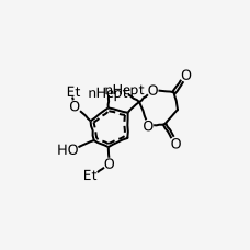 CCCCCCCc1c(C2(CCCCCCC)OC(=O)CC(=O)O2)cc(OCC)c(O)c1OCC